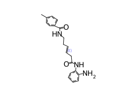 Cc1ccc(C(=O)NCC/C=C/CC(=O)Nc2ccccc2N)cc1